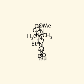 CC[C@H]1CN(c2c(C)nc(C(=O)OC)c(=O)n2C)CCN1C1CCN(C(=O)OC(C)(C)C)CC1